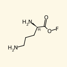 NCCC[C@@H](N)C(=O)OF